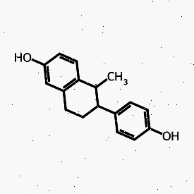 C[C]1c2ccc(O)cc2CCC1c1ccc(O)cc1